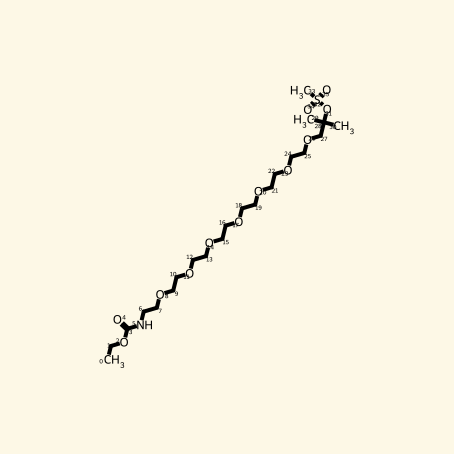 CCOC(=O)NCCOCCOCCOCCOCCOCCOCCOCC(C)(C)OS(C)(=O)=O